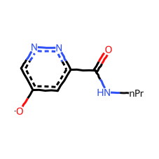 CCCNC(=O)c1cc([O])cnn1